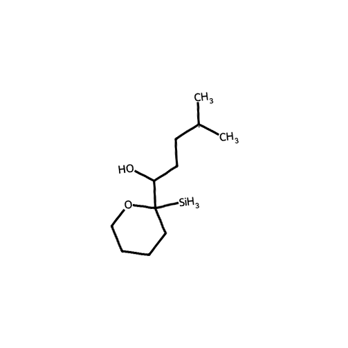 C[C](C)CCC(O)C1([SiH3])CCCCO1